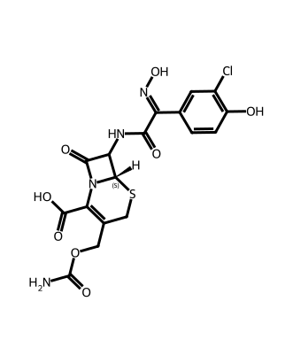 NC(=O)OCC1=C(C(=O)O)N2C(=O)C(NC(=O)C(=NO)c3ccc(O)c(Cl)c3)[C@@H]2SC1